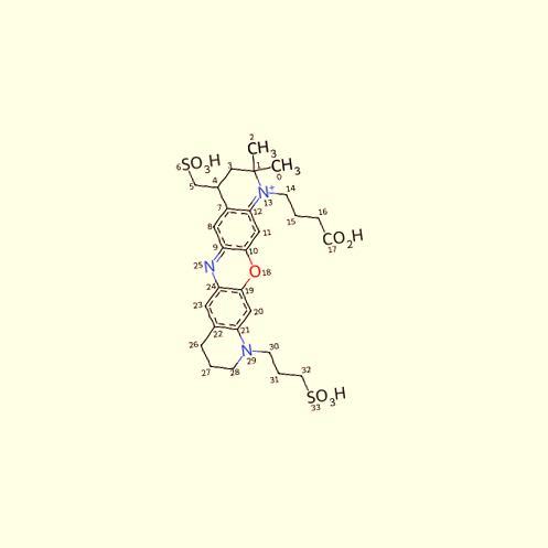 CC1(C)CC(CS(=O)(=O)O)c2cc3c(cc2=[N+]1CCCC(=O)O)Oc1cc2c(cc1N=3)CCCN2CCCS(=O)(=O)O